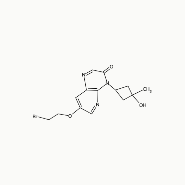 CC1(O)CC(n2c(=O)cnc3cc(OCCBr)cnc32)C1